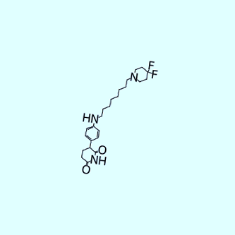 O=C1CCC(c2ccc(NCCCCCCCCN3CCC(F)(F)CC3)cc2)C(=O)N1